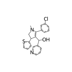 CN1CC(c2cccs2)C(C(O)c2cccnc2)=C1c1cccc(Cl)c1